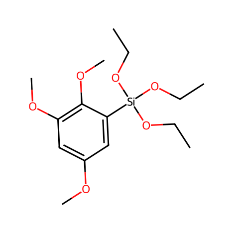 CCO[Si](OCC)(OCC)c1cc(OC)cc(OC)c1OC